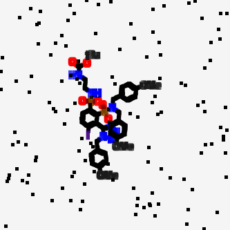 COc1ccc(CN(Cc2ccc(OC)cc2)S(=O)(=O)c2c(S(=O)(=O)NCCNC(=O)OC(C)(C)C)ccc(I)c2-c2nnnn2Cc2ccc(OC)cc2)cc1